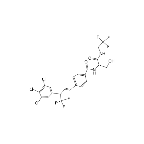 O=C(NC(CO)C(=O)NCC(F)(F)F)c1ccc(C=CC(c2cc(Cl)c(Cl)c(Cl)c2)C(F)(F)F)cc1